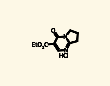 CCOC(=O)c1cnc2n(c1=O)CCC2.Cl